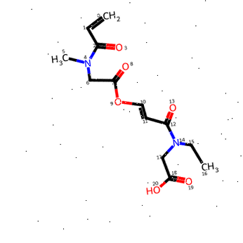 C=CC(=O)N(C)CC(=O)O/C=C/C(=O)N(CC)CC(=O)O